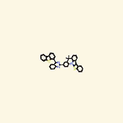 CC1(C)c2cc(-c3nc(-c4cccc5c4sc4ccccc45)c4ccccc4n3)ccc2-n2c3sc4ccccc4c3c3cccc1c32